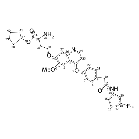 COc1cc2c(Oc3ccc(CC(=O)Nc4cccc(F)c4)cc3)ccnc2cc1OCCC(N)C(=O)OC1CCCC1